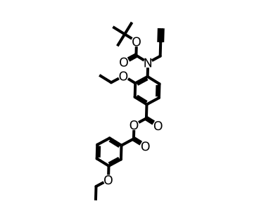 C#CCN(C(=O)OC(C)(C)C)c1ccc(C(=O)OC(=O)c2cccc(OCC)c2)cc1OCC